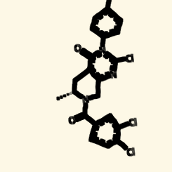 C[C@@H]1Cc2c(nc(Cl)n(-c3ccc(Br)cc3)c2=O)CN1C(=O)c1ccc(Cl)c(Cl)c1